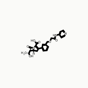 C[C@@H](O)[C@H]1C(=O)N2C(C(=O)O)=C(c3cccc(COCC(=O)Nc4ccncc4)c3)C[C@H]12